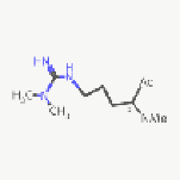 CN[C@@H](CCCNC(=N)N(C)C)C(C)=O